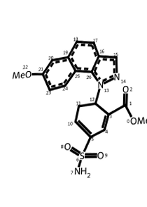 COC(=O)C1=CC(S(N)(=O)=O)=CCC1n1ncc2ccc3cc(OC)ccc3c21